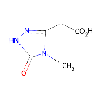 Cn1c(CC(=O)O)n[nH]c1=O